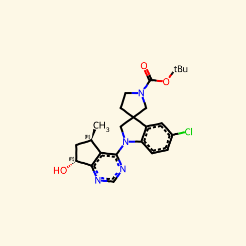 C[C@@H]1C[C@@H](O)c2ncnc(N3CC4(CCN(C(=O)OC(C)(C)C)C4)c4cc(Cl)ccc43)c21